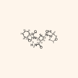 CC1(C)COCCN1N(O)c1cc(C(N)=O)c(NC(=O)c2ccccc2C(F)(F)F)s1